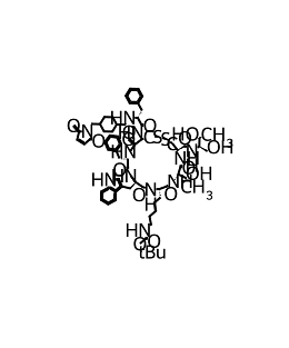 C[C@@H](O)[C@@H]1NC(=O)[C@H](CCCCCNC(=O)OC(C)(C)C)NC(=O)[C@@H](Cc2c[nH]c3ccccc23)NC(=O)[C@H](Cc2ccccc2)NC(=O)[C@@H](NC(=O)[C@@H](Cc2ccccc2)NC(=O)C2CCC(CN3C(=O)C=CC3=O)CC2)CSSC[C@@H](C(=O)N[C@H](CO)[C@@H](C)O)NC1=O